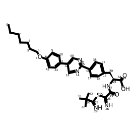 CCCCCCCOc1ccc(-c2cnc(-c3ccc(C[C@H](NC(=O)C(=N)SC(=N)C(C)(C)C)C(=O)O)cc3)nc2)cc1